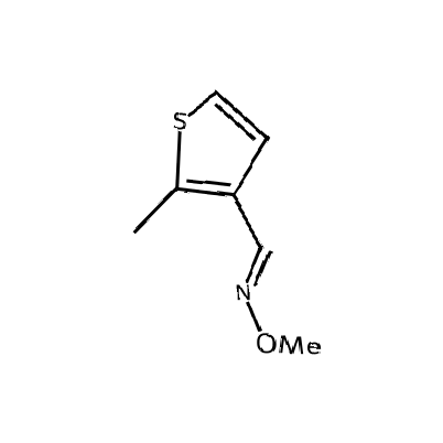 CO/N=C/c1ccsc1C